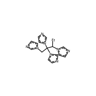 CCC(n1ccnc1)C(Cn1ccnc1)(n1ccnc1)n1ccnc1